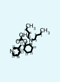 CCCCN(CCCC)[C@@H]1CCCC[C@@]1(Cc1cccnc1)OC(=O)O